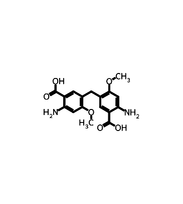 COc1cc(N)c(C(=O)O)cc1Cc1cc(C(=O)O)c(N)cc1OC